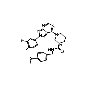 CSc1ccc(CNC(=O)[C@@H]2CCCN(c3ncnc4nn(-c5ccc(C)c(F)c5)cc34)C2)cc1